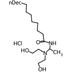 CCCCCCCCCCCCCCCCCC(=O)NC(C)N(CCO)CCO.Cl